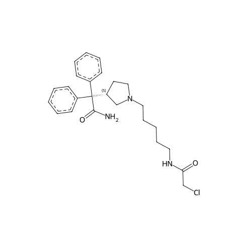 NC(=O)C(c1ccccc1)(c1ccccc1)[C@@H]1CCN(CCCCCNC(=O)CCl)C1